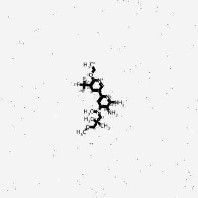 CCOc1ncc(-c2cc(N(C)CC(C)(C)COC)c(N)c(N)n2)cc1C(F)(F)F